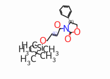 CC(C)(C)[Si](C)(C)OC/C=C/C(=O)N1C(=O)OC[C@H]1c1ccccc1